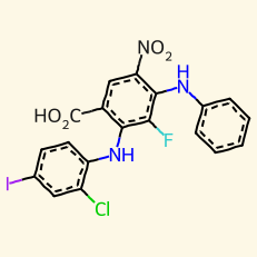 O=C(O)c1cc([N+](=O)[O-])c(Nc2ccccc2)c(F)c1Nc1ccc(I)cc1Cl